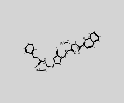 CC(C)C[C@@H](CN1CC(=O)C(CNC(=O)[C@H](CC(C)C)NC(=O)c2ccc3ccccc3n2)C1)NC(=O)OCc1ccccc1